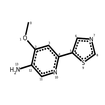 COc1cc(-c2cncs2)ncc1N